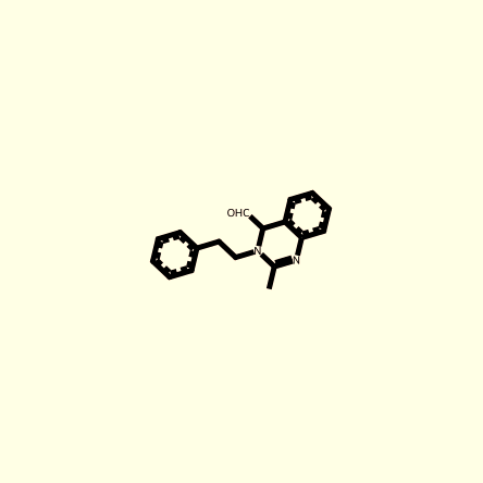 CC1=Nc2ccccc2C(C=O)N1CCc1ccccc1